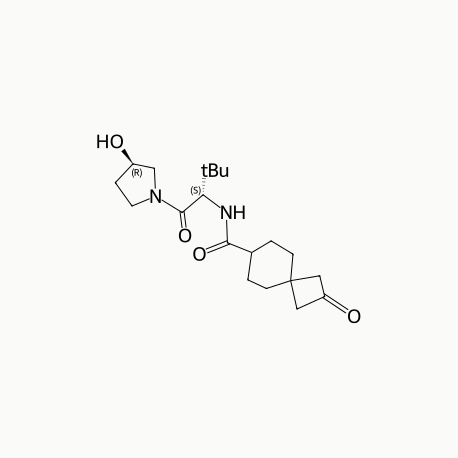 CC(C)(C)[C@H](NC(=O)C1CCC2(CC1)CC(=O)C2)C(=O)N1CC[C@@H](O)C1